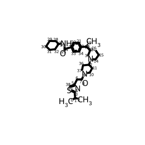 CC(C)c1nc(CC(=O)N2CCC(N3CCC[C@@H]([C@H](C)c4ccc(C(=O)NC5CCCCC5)cc4)C3)CC2)cs1